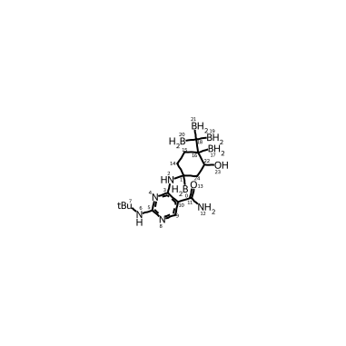 BC1(Nc2nc(NC(C)(C)C)ncc2C(N)=O)CCC(B)(C(B)(B)B)C(O)C1